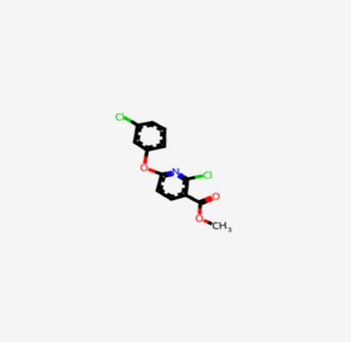 COC(=O)c1ccc(Oc2cccc(Cl)c2)nc1Cl